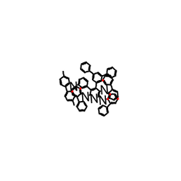 Cc1ccc2c3ccc(C)cc3n(-c3cccc(-c4c(-n5c6ccccc6c6ccccc65)nc(-n5c6ccccc6c6ccccc65)c(-n5c6ccccc6c6ccccc65)c4-c4cc(-c5ccccc5)cc(-c5ccccc5)c4)c3)c2c1